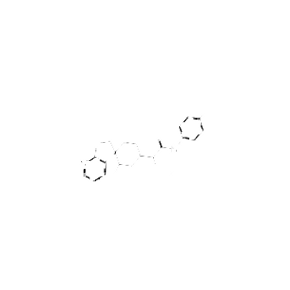 CC(C(=O)Nc1ccc(Cl)cc1)C1CCC2(COc3ncccc32)C(C(F)(F)F)C1